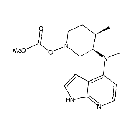 COC(=O)ON1CC[C@@H](C)[C@@H](N(C)c2ccnc3[nH]ccc23)C1